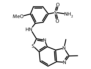 COc1ccc(S(N)(=O)=O)cc1Nc1nc2c(ccc3nc(C)n(C)c32)s1